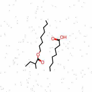 CCCCCCCC(=O)O.CCCCCCCCOC(=O)C(C)CC